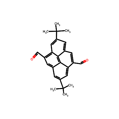 CC(C)(C)c1cc2cc(C=O)c3cc(C(C)(C)C)cc4cc(C=O)c(c1)c2c43